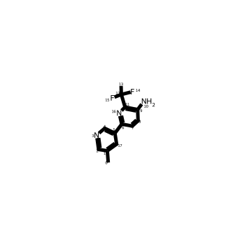 Cc1cncc(-c2ccc(N)c(C(C)(F)F)n2)c1